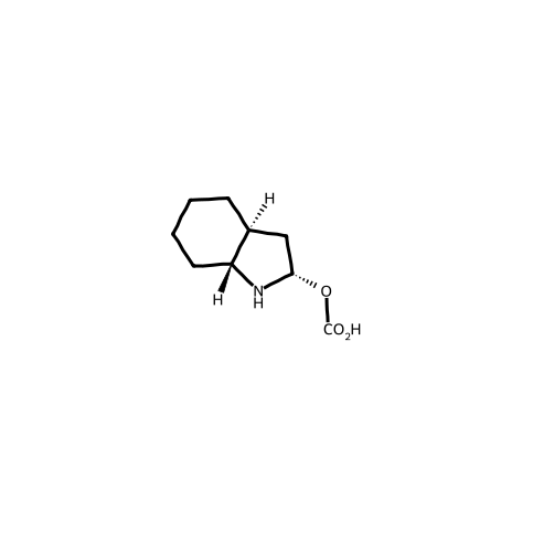 O=C(O)O[C@H]1C[C@@H]2CCCC[C@H]2N1